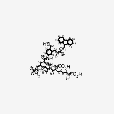 CC(C)[C@H](NC(=O)[C@H](CCCCNC(=O)O)NC(=O)O)C(=O)N[C@@H](CCCNC(N)=O)C(=O)Nc1ccc(CO)c(CN(C)C(=O)OCC2c3ccccc3-c3ccccc32)c1